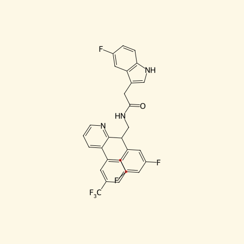 O=C(Cc1c[nH]c2ccc(F)cc12)NCC(c1cc(F)cc(F)c1)c1ncccc1-c1cccc(C(F)(F)F)c1